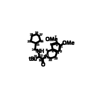 COc1cc2c(cc1OC)CN(C(=O)C(NCC1CCCCC1)C(C)(C)C)CC2